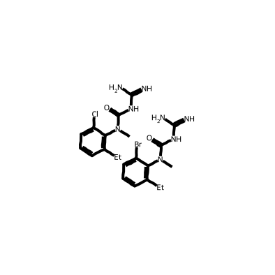 CCc1cccc(Br)c1N(C)C(=O)NC(=N)N.CCc1cccc(Cl)c1N(C)C(=O)NC(=N)N